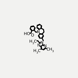 CCc1nc2c(C)cc(C)nc2n1Cc1ccc2c(c1)CCc1ccccc1N2Cc1ccccc1C(=O)O